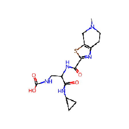 CN1CCc2nc(C(=O)NC(CNC(=O)O)C(=O)NC3CC3)sc2C1